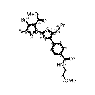 COCCNC(=O)c1ccc(-c2nc(-n3nc(C)c(Br)c3C(=O)OC)sc2SC(C)C)cc1